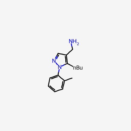 CCCCc1c(CN)cnn1-c1ccccc1C